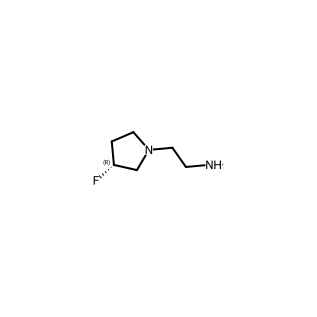 [NH]CCN1CC[C@@H](F)C1